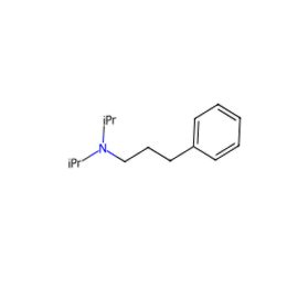 CC(C)N(CCCc1ccccc1)C(C)C